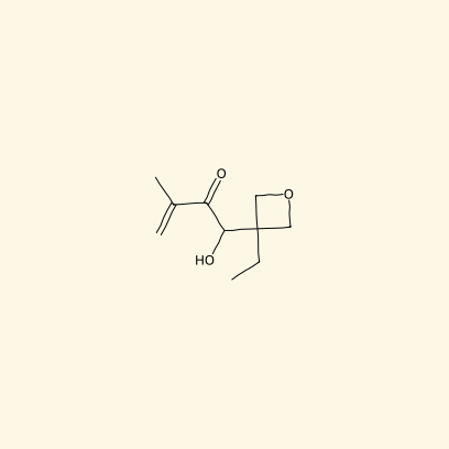 C=C(C)C(=O)C(O)C1(CC)COC1